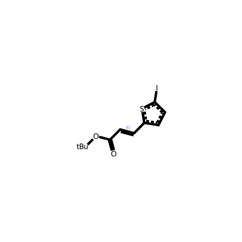 CC(C)(C)OC(=O)/C=C/c1ccc(I)s1